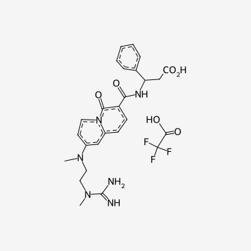 CN(CCN(C)c1ccn2c(=O)c(C(=O)NC(CC(=O)O)c3ccccc3)ccc2c1)C(=N)N.O=C(O)C(F)(F)F